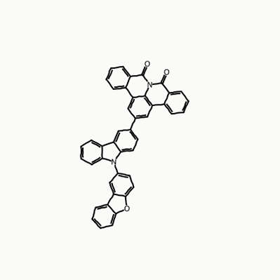 O=c1c2ccccc2c2cc(-c3ccc4c(c3)c3ccccc3n4-c3ccc4oc5ccccc5c4c3)cc3c4ccccc4c(=O)n1c23